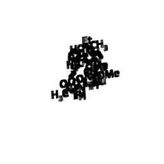 CC[C@H](C)[C@@H]([C@@H](CC(=O)N1CCCC1[C@H](OC)[C@@H](C)C(=O)N[C@H](C)[C@@H](O)CC)OC)N(C)C(=O)[C@@H](NC(=O)[C@H](C(C)C)N(C)C(=O)OCCSSc1ccccn1)C(C)C